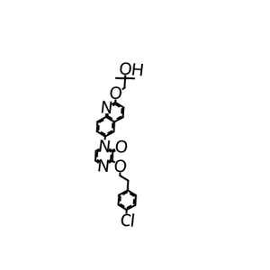 CC(C)(O)COc1ccc2cc(-n3ccnc(OCCc4ccc(Cl)cc4)c3=O)ccc2n1